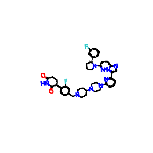 O=C1CCC(c2ccc(CN3CCC(N4CCN(c5cccc(-c6cnc7ccc(N8CCC[C@@H]8c8cccc(F)c8)nn67)n5)CC4)CC3)cc2F)C(=O)N1